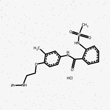 Cc1cc(NC(=O)c2ccccc2NS(C)(=O)=O)ccc1OCCNC(C)C.Cl